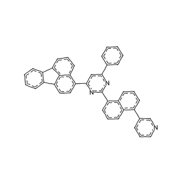 c1ccc(-c2cc(-c3ccc4c5c(cccc35)-c3ccccc3-4)nc(-c3cccc4c(-c5cccnc5)cccc34)n2)cc1